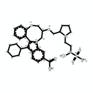 CN(CCN1CCCC1COC1COc2ccccc2-c2c(C3CCCCC3)c3ccc(C(=O)O)cc3n2C1)S(N)(=O)=O